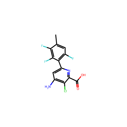 Cc1cc(F)c(-c2cc(N)c(Cl)c(C(=O)O)n2)c(F)c1F